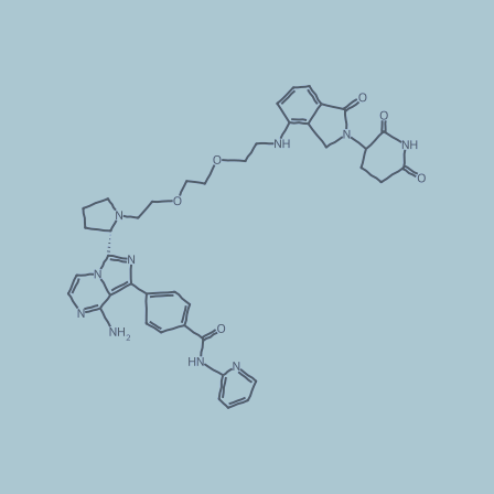 Nc1nccn2c([C@@H]3CCCN3CCOCCOCCNc3cccc4c3CN(C3CCC(=O)NC3=O)C4=O)nc(-c3ccc(C(=O)Nc4ccccn4)cc3)c12